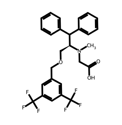 CN(CC(=O)O)[C@@H](COCc1cc(C(F)(F)F)cc(C(F)(F)F)c1)C(c1ccccc1)c1ccccc1